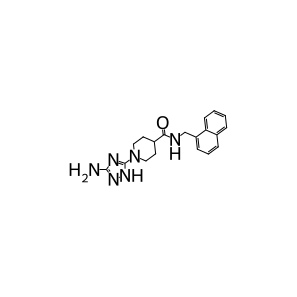 Nc1n[nH]c(N2CCC(C(=O)NCc3cccc4ccccc34)CC2)n1